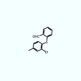 CCc1cc(C)ccc1Sc1ccccc1C=O